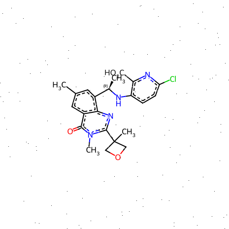 Cc1cc([C@@H](C)Nc2ccc(Cl)nc2C(=O)O)c2nc(C3(C)COC3)n(C)c(=O)c2c1